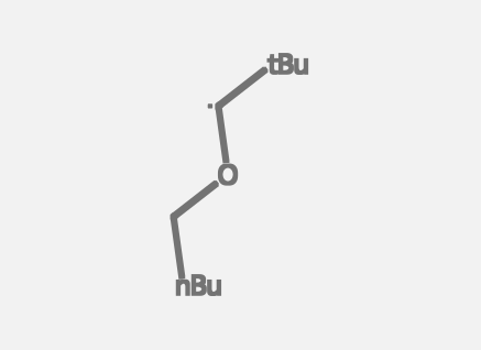 CCCCCO[CH]C(C)(C)C